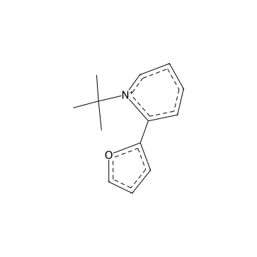 CC(C)(C)[n+]1ccccc1-c1ccco1